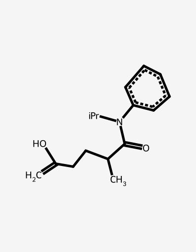 C=C(O)CCC(C)C(=O)N(c1ccccc1)C(C)C